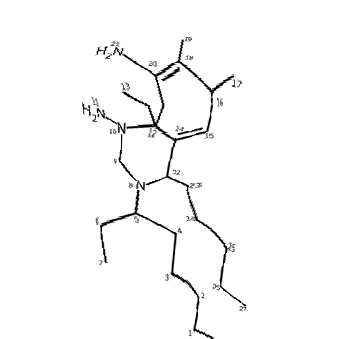 CCCCCC(CC)N1CN(N)C2(C)C(=CC(C)C(C)=C2N)C1CCCCC